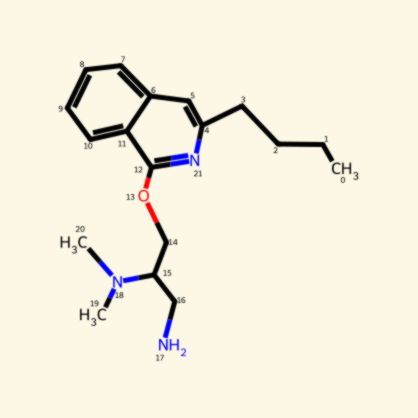 CCCCc1cc2ccccc2c(OCC(CN)N(C)C)n1